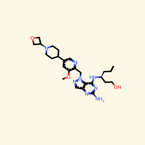 CCC[C@@H](CCO)Nc1nc(N)nc2cnn(Cc3ncc(C4CCN(C5COC5)CC4)cc3OC)c12